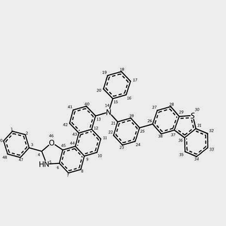 c1ccc(C2Nc3ccc4ccc5c(N(c6ccccc6)c6cccc(-c7ccc8sc9ccccc9c8c7)c6)cccc5c4c3O2)cc1